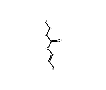 [CH2]CCC(=O)OC=CC